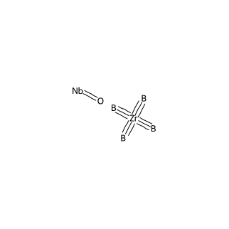 [B]#[Zr](#[B])(#[B])#[B].[O]=[Nb]